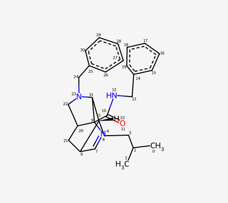 CC(C)CC[C@@H]1C2C=NC3(C(=O)NCc4ccccc4)C(C2)CN(Cc2ccccc2)C13